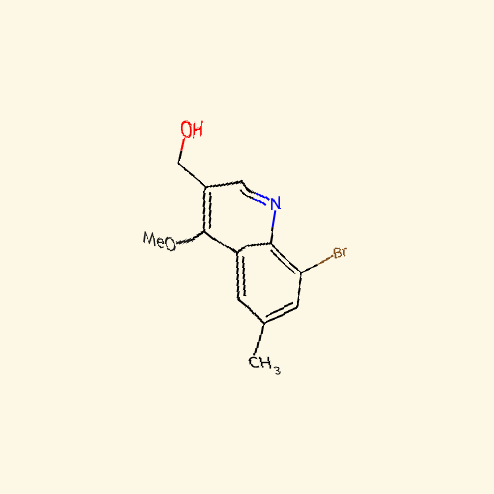 COc1c(CO)cnc2c(Br)cc(C)cc12